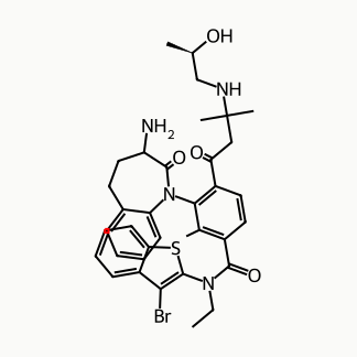 CCN(C(=O)c1ccc(C(=O)CC(C)(C)NC[C@@H](C)O)c(N2C(=O)C(N)CCc3ccccc32)c1C)c1sc2ccccc2c1Br